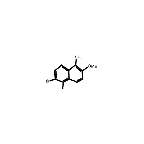 COc1ccc2c(C)c(Br)ccc2c1C(F)(F)F